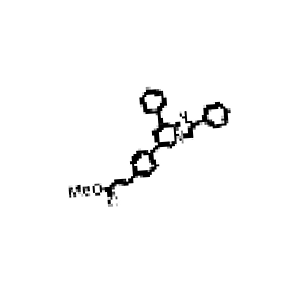 COC(=O)C=Cc1ccc(-c2cc(-c3ccccc3)c3nc(-c4ccccc4)cn3c2)cc1